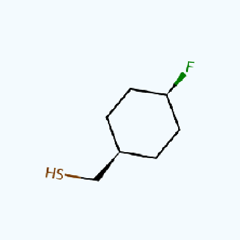 F[C@H]1CC[C@@H](CS)CC1